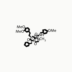 COc1ccc(CNC(=O)N2[C@H]3CN(CCc4ccc(OC)c(OC)c4)C(=O)[C@H](Cc4ccccc4)N3C(=O)CN2C)cc1